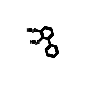 O=C(O)c1cccc(-c2cc[c]cc2)c1C(=O)O